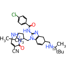 C[C@H](NCC1C=Cc2c(nc(NC(=O)c3ccc(Cl)cc3)n2CC2CCCN2C(=O)C(C#N)=CC(C)(C)N)C1)C(C)(C)C